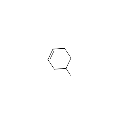 [SnH][CH]1CC=CCC1